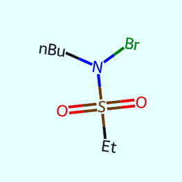 CCCCN(Br)S(=O)(=O)CC